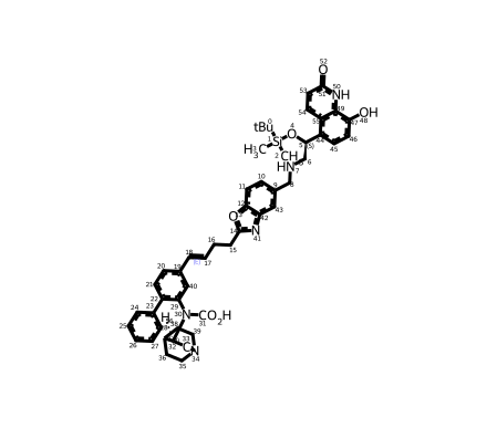 CC(C)(C)[Si](C)(C)O[C@H](CNCc1ccc2oc(CC/C=C/c3ccc(-c4ccccc4)c(N(C(=O)O)[C@H]4CN5CCC4CC5)c3)nc2c1)c1ccc(O)c2[nH]c(=O)ccc12